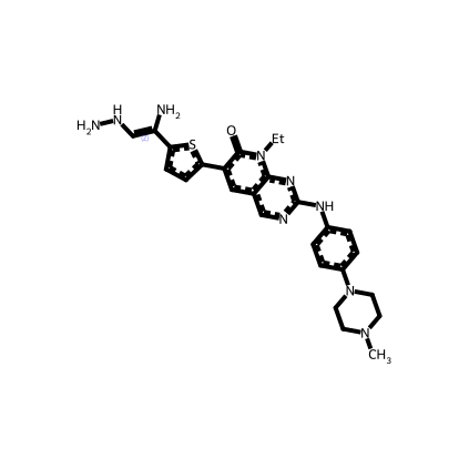 CCn1c(=O)c(-c2ccc(/C(N)=C/NN)s2)cc2cnc(Nc3ccc(N4CCN(C)CC4)cc3)nc21